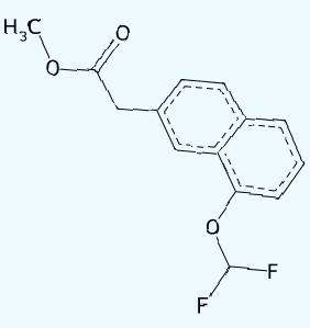 COC(=O)Cc1ccc2cccc(OC(F)F)c2c1